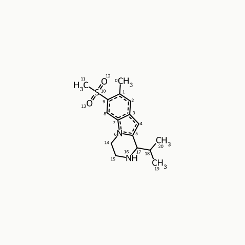 Cc1cc2cc3n(c2cc1S(C)(=O)=O)CCNC3C(C)C